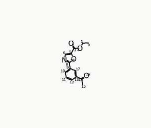 CCOC(=O)c1cnc(-c2cccc(C(C)=O)c2)o1